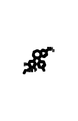 CCNc1c(F)cc(C2=C(c3ccc(C)cc3)c3ccc(N)cc3CCC2)cc1F